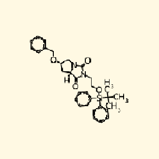 CC(C)(C)[Si](OCCN1C(=O)[C@@H]2C[C@@H](OCc3ccccc3)CN2C1=O)(c1ccccc1)c1ccccc1